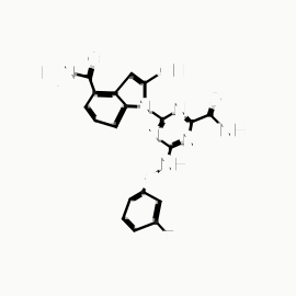 Cc1cc2c(C(N)=O)cccc2n1-c1nc(NCc2cccc(F)c2)nc(C(N)=O)n1